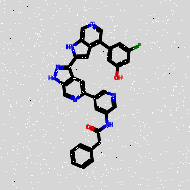 O=C(Cc1ccccc1)Nc1cncc(-c2cc3c(-c4cc5c(-c6cc(O)cc(F)c6)cncc5[nH]4)n[nH]c3cn2)c1